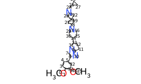 COc1ccc(-c2cn3c(n2)CCC(C2CCN(C4CC5(C4)CN(CC4CC4)C5)CC2)C3)cc1OC